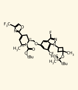 C[C@H]1C=C(c2nc(C(F)(F)F)co2)C[C@@H](COc2cc(C(F)(F)F)c3c(c2)c(F)nn3C2CC(C)(O[Si](C)(C)C(C)(C)C)C2)N1C(=O)OC(C)(C)C